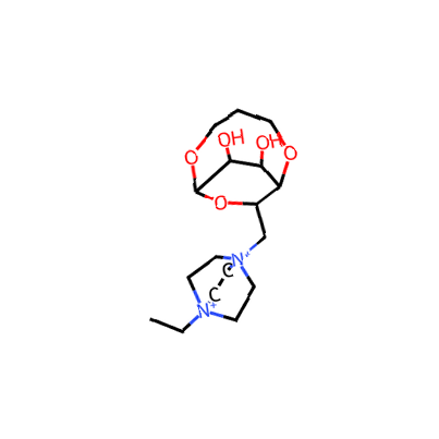 CC[N+]12CC[N+](CC3OC4OCCCOC3C(O)C4O)(CC1)CC2